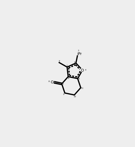 Cc1c(C(C)C)oc2c1C(=O)CCC2